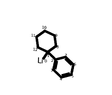 [Li][C]1(c2ccccc2)CCCCC1